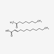 CCCCCCCC(C)=O.CCCCCCCCCC=CC(=O)O